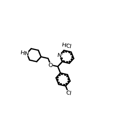 Cl.Clc1ccc(C(OCC2CCNCC2)c2ccccn2)cc1